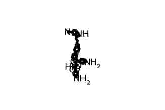 N#Cc1ccc2[nH]cc(CCCCN3CCN(c4ccc5oc(C(=O)NS(=O)(=O)c6ccc(N)cc6)c(-c6ccc(N)cc6)c5c4)CC3)c2c1